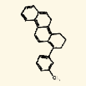 Cc1cccc(C2=c3ccc4c(c3CCC2)CC=c2ccccc2=4)c1